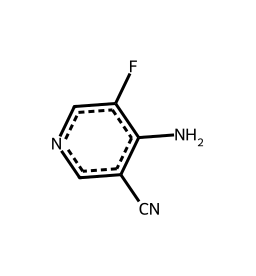 N#Cc1cncc(F)c1N